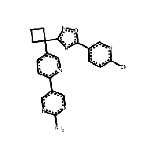 N#Cc1ccc(-c2nc(C3(c4ccc(-c5cnc(N)nc5)nc4)CCC3)no2)cn1